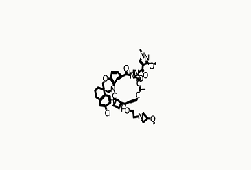 COc1nn(C)cc1C(=O)N[S@@]1(=O)=NC(=O)c2ccc3c(c2)N(C[C@@H]2CC[C@H]2[C@@H](OCCN2CC(OC)C2)/C=C/C[C@H](C)C1)C[C@@]1(CCCc2cc(Cl)ccc21)CO3